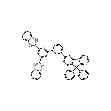 c1ccc(C2(c3ccccc3)c3ccccc3-c3cc(-c4cccc(-c5cc(-c6nc7ccccc7o6)cc(-c6nc7ccccc7o6)c5)c4)ccc32)cc1